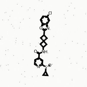 O=C(NC1CC2(C1)CC(c1nc3cc(Cl)ccc3o1)C2)c1ccnc([S+]([O-])C2CC2)c1